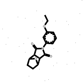 CCOc1cccc(N2C(=O)C3C4CCC(O4)C3C2=O)c1